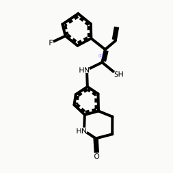 C=C/C(=C(\S)Nc1ccc2c(c1)CCC(=O)N2)c1cccc(F)c1